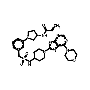 C=CC(=O)N[C@H]1CCN(c2cccc(CS(=O)(=O)NC3CCN(c4nc5c(N6CCOCC6)ncnc5s4)CC3)c2)C1